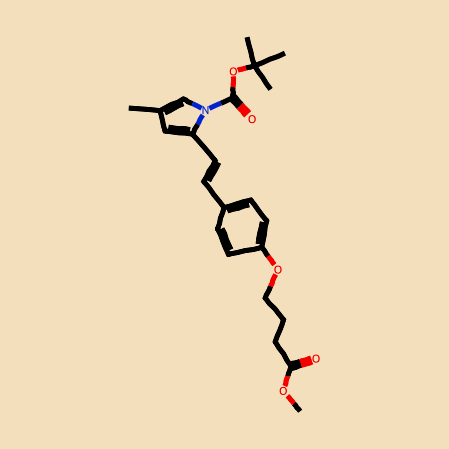 COC(=O)CCCOc1ccc(/C=C/c2cc(C)cn2C(=O)OC(C)(C)C)cc1